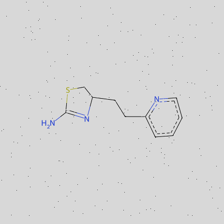 NC1=NC(CCc2ccccn2)CS1